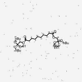 CCCCOC(COC(=O)CCCCCCCCC(=O)OCC(OCC)(OCCCC)OCCCC)(OCC)OCCCC